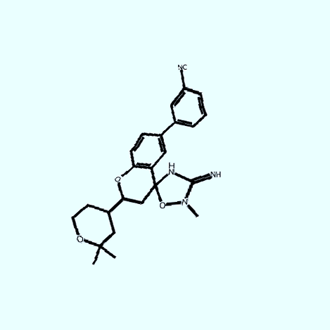 [C-]#[N+]c1cccc(-c2ccc3c(c2)C2(CC(C4CCOC(C)(C)C4)O3)NC(=N)N(C)O2)c1